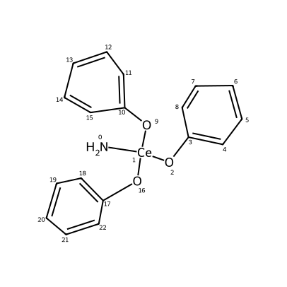 [NH2][Ce]([O]c1ccccc1)([O]c1ccccc1)[O]c1ccccc1